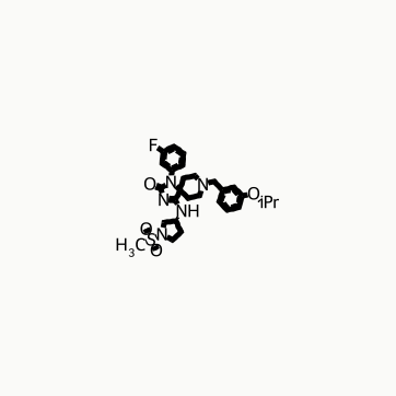 CC(C)Oc1cccc(CN2CCC3(CC2)C(N[C@H]2CCN(S(C)(=O)=O)C2)=NC(=O)N3c2cccc(F)c2)c1